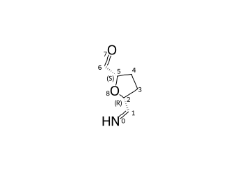 N=C[C@H]1CC[C@@H](C=O)O1